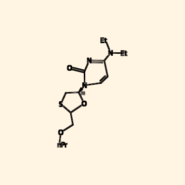 CCCOCC1O[C@H](n2ccc(N(CC)CC)nc2=O)CS1